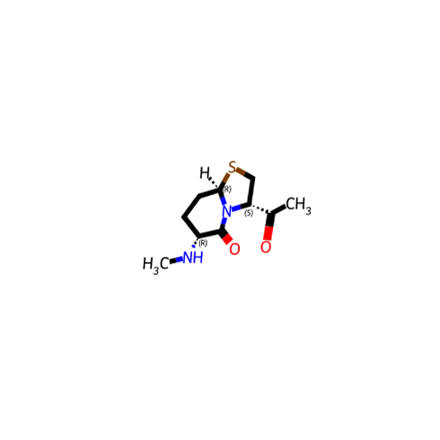 CN[C@@H]1CC[C@H]2SC[C@H](C(C)=O)N2C1=O